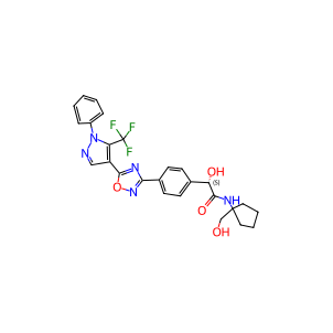 O=C(NC1(CO)CCCC1)[C@@H](O)c1ccc(-c2noc(-c3cnn(-c4ccccc4)c3C(F)(F)F)n2)cc1